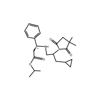 CC(C)OC(=O)C[C@H](NCC(CC1CC1)N1C(=O)CC(C)(C)C1=O)c1ccccc1